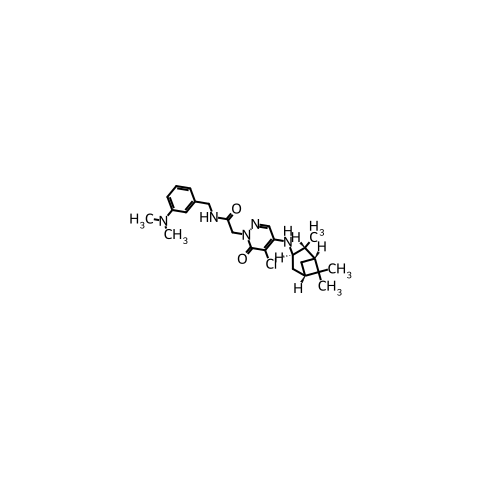 C[C@@H]1[C@H]2C[C@@H](C[C@H]1Nc1cnn(CC(=O)NCc3cccc(N(C)C)c3)c(=O)c1Cl)C2(C)C